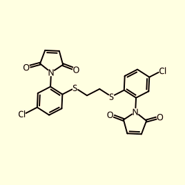 O=C1C=CC(=O)N1c1cc(Cl)ccc1SCCSc1ccc(Cl)cc1N1C(=O)C=CC1=O